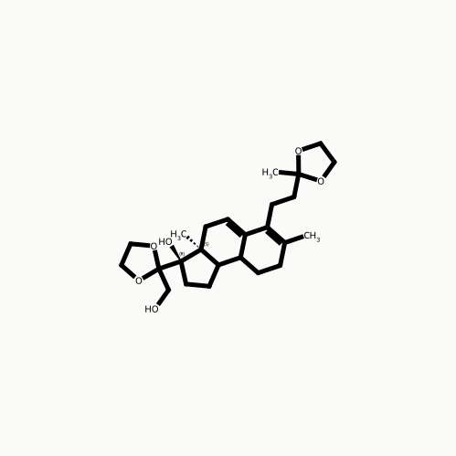 CC1=C(CCC2(C)OCCO2)C2=CC[C@@]3(C)C(CC[C@]3(O)C3(CO)OCCO3)C2CC1